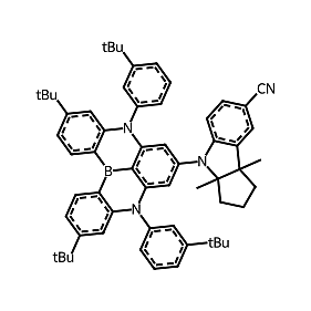 CC(C)(C)c1cccc(N2c3cc(C(C)(C)C)ccc3B3c4ccc(C(C)(C)C)cc4N(c4cccc(C(C)(C)C)c4)c4cc(N5c6ccc(C#N)cc6C6(C)CCCC56C)cc2c43)c1